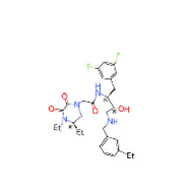 CCc1cccc(CNC[C@@H](O)[C@H](Cc2cc(F)cc(F)c2)NC(=O)CN2C[C@@H](CC)N(CC)C(=O)C2=O)c1